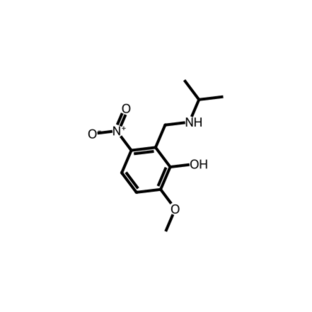 COc1ccc([N+](=O)[O-])c(CNC(C)C)c1O